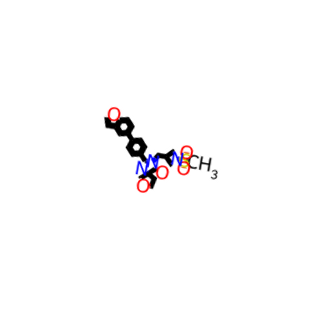 CS(=O)(=O)N1CC(CN2C(=O)C3(CCOC3)N=C2c2ccc(-c3ccc4occc4c3)cc2)C1